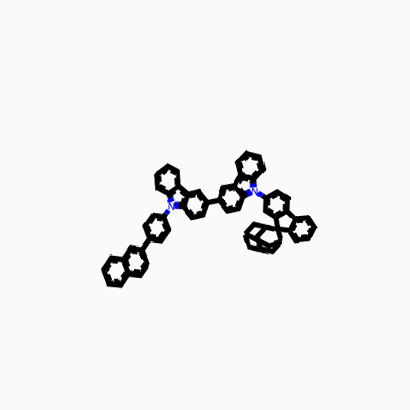 c1ccc2c(c1)-c1ccc(-n3c4ccccc4c4cc(-c5ccc6c(c5)c5ccccc5n6-c5ccc(-c6ccc7ccccc7c6)cc5)ccc43)cc1C21C2CC3CC(C2)CC1C3